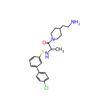 CC(NSc1cccc(-c2ccc(Cl)cc2)c1)C(=O)N1CCC(CCN)CC1